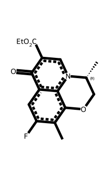 CCOC(=O)c1cn2c3c(c(C)c(F)cc3c1=O)OC[C@H]2C